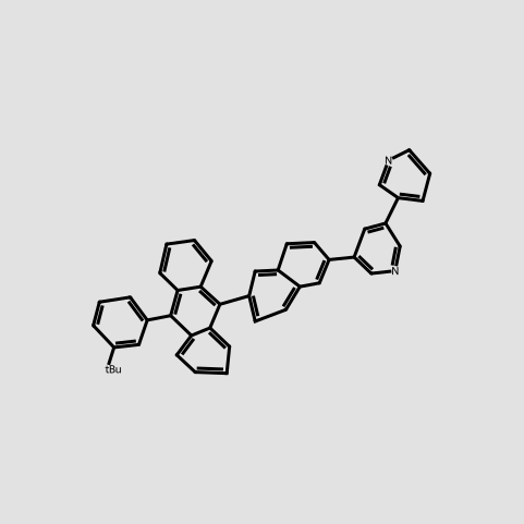 CC(C)(C)c1cccc(-c2c3ccccc3c(-c3ccc4cc(-c5cncc(-c6cccnc6)c5)ccc4c3)c3ccccc23)c1